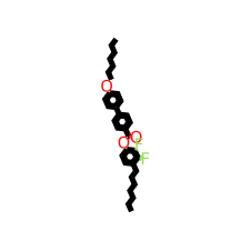 CCCCCCCOc1ccc(-c2ccc(C(=O)Oc3ccc(CCCCCCC)c(F)c3F)cc2)cc1